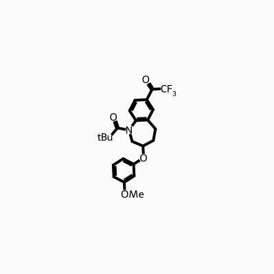 COc1cccc(OC2CCc3cc(C(=O)C(F)(F)F)ccc3N(C(=O)C(C)(C)C)C2)c1